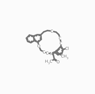 CC(=O)c1c(C)c2c3c(Cl)ccc2n1CCCOc1cc(cc2ccccc12)CCCCCCC3